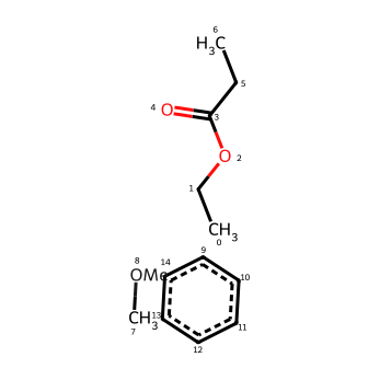 CCOC(=O)CC.COC.c1ccccc1